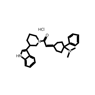 CN(C)C1(c2ccccc2)CCC(=CC(=O)N2CCCC(c3c[nH]c4ccccc34)C2)CC1.Cl